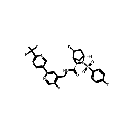 O=C(NCc1cc(-c2cnc(C(F)(F)F)nc2)ncc1F)[C@@H]1C2C[C@@H](C[C@@H]2F)N1S(=O)(=O)c1ccc(F)cc1